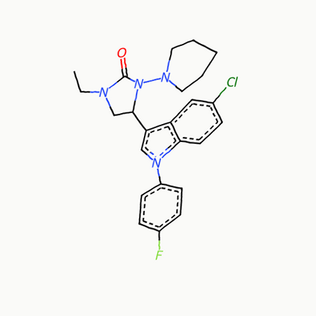 CCN1CC(c2cn(-c3ccc(F)cc3)c3ccc(Cl)cc23)N(N2CCCCC2)C1=O